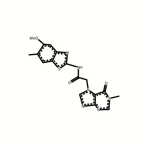 COc1cc2nc(NC(=O)Cn3cnc4ncn(C)c(=O)c43)sc2cc1C